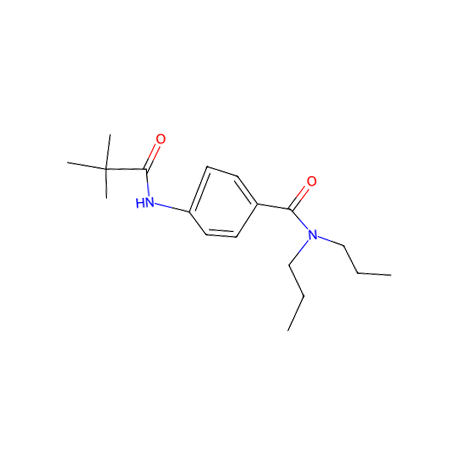 CCCN(CCC)C(=O)c1ccc(NC(=O)C(C)(C)C)cc1